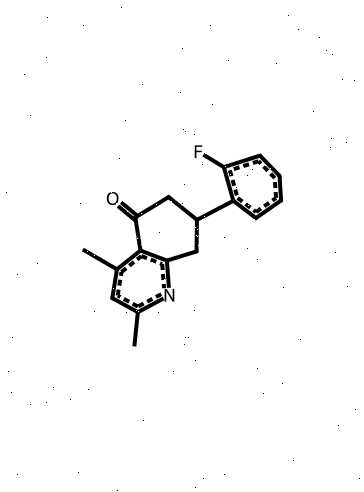 Cc1cc(C)c2c(n1)CC(c1ccccc1F)CC2=O